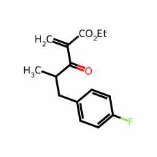 C=C(C(=O)OCC)C(=O)C(C)Cc1ccc(F)cc1